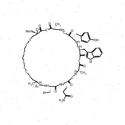 CN[C@]1(C)CSCCCCCCCSC[C@@](C)(C(C)=O)NN[C@@H](CC(C)C)C(=O)N[C@@H](CCC(N)=O)C(=O)CN[C@@H](C)C(=O)CC(=O)[C@H](Cc2c[nH]c3ccccc23)NN[C@@H](Cc2ccc(O)cc2)C(=O)CN[C@@H](C)C(=O)CC1=O